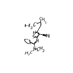 CC(C)Cc1nsc(/N=C(\Cl)N(C)C)c1C#N